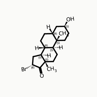 C[C@]12CC[C@H](O)C[C@H]1CC[C@@H]1[C@@H]2CC[C@]2(C)C(=O)[C@H](Br)C[C@@H]12